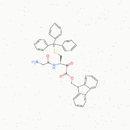 NCC(=O)N[C@@H](CSC(c1ccccc1)(c1ccccc1)c1ccccc1)C(=O)C(=O)OCC1c2ccccc2-c2ccccc21